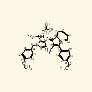 CC(=O)[O-].CNc1c(/N=C2\C(C)=C(c3ccc(OC)cc3)[n+]3ccccc32)cnn1Cc1ccc(OC)cc1